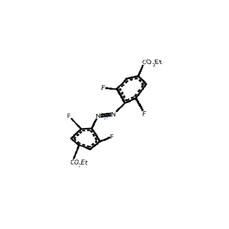 CCOC(=O)c1cc(F)c(/N=N/c2c(F)cc(C(=O)OCC)cc2F)c(F)c1